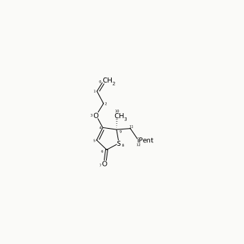 C=CCOC1=CC(=O)S[C@]1(C)CC(C)CCC